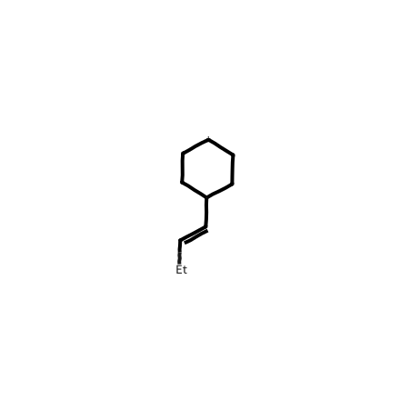 CCC=CC1CC[CH]CC1